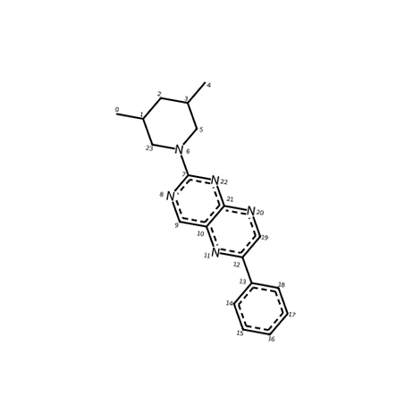 CC1CC(C)CN(c2ncc3nc(-c4ccccc4)cnc3n2)C1